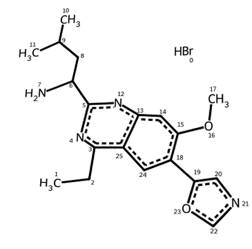 Br.CCc1nc(C(N)CC(C)C)nc2cc(OC)c(-c3cnco3)cc12